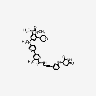 Cc1cc(-c2ccc(N(C)c3cc(C4CCOCC4)c4c(c3)n(C)c(=O)n4C)cn2)cnc1C(=O)NCC#Cc1cccc(NC2CCC(=O)NC2=O)c1